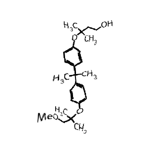 COCC(C)(C)Oc1ccc(C(C)(C)c2ccc(OC(C)(C)CCO)cc2)cc1